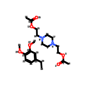 CC(=O)OCCN1CCN(CCOC(C)=O)CC1.CCc1ccc(OC)c(OC)c1